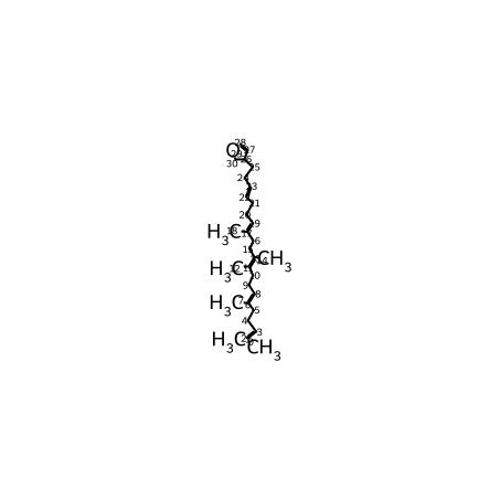 CC(C)=CCC/C(C)=C/CC/C(C)=C(\C)CC/C(C)=C/CC/C=C/CCC1C=COC1